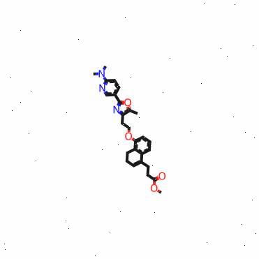 COC(=O)CCC1=CCCc2c(OCCc3nc(-c4ccc(N(C)C)nc4)oc3C)cccc21